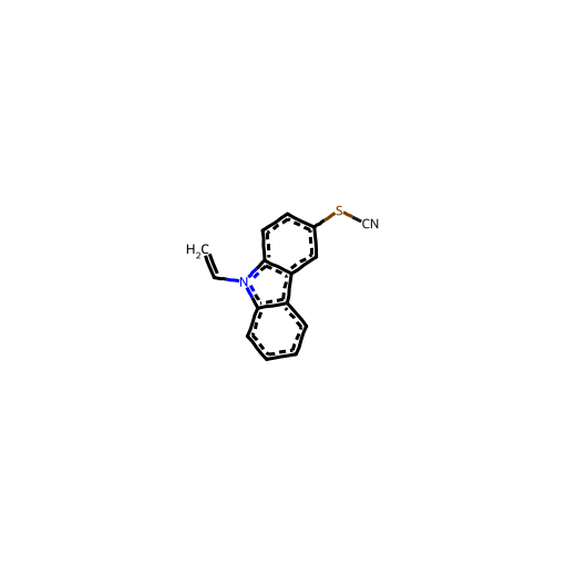 C=Cn1c2ccccc2c2cc(SC#N)ccc21